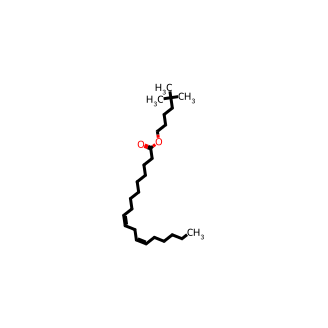 CCCCC/C=C\C/C=C\CCCCCCCC(=O)OCCCCC(C)(C)C